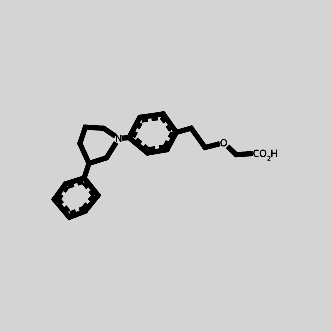 O=C(O)COCCc1ccc(N2CCCC(c3ccccc3)C2)cc1